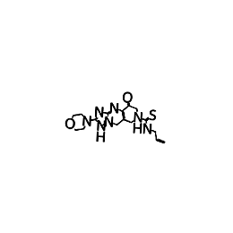 C=CCNC(=S)N1CC(=O)C2=C(C1)CN1NC(N3CCOCC3)=NC1=N2